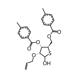 C=CCO[C@H]1C(O)S[C@H](COC(=O)c2ccc(C)cc2)[C@H]1OC(=O)c1ccc(C)cc1